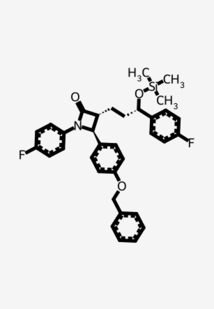 C[Si](C)(C)O[C@@H](CC[C@H]1C(=O)N(c2ccc(F)cc2)[C@@H]1c1ccc(OCc2ccccc2)cc1)c1ccc(F)cc1